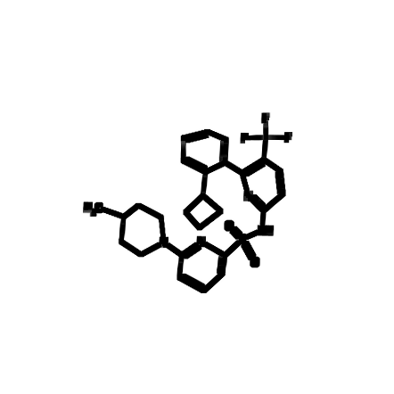 CC1CCN(c2cccc(S(=O)(=O)Nc3ccc(C(F)(F)F)c(-c4ccccc4C4CCC4)n3)n2)CC1